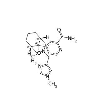 CO[C@@]1(c2ccnc(C(N)=O)c2)[C@@H]2CCC[C@H]1CN(Cc1cn(C)cn1)C2